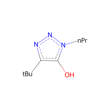 CCCn1nnc(C(C)(C)C)c1O